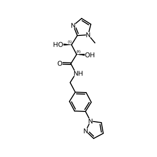 Cn1ccnc1[C@H](O)[C@@H](O)C(=O)NCc1ccc(-n2cccn2)cc1